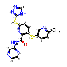 Cc1ccc(Sc2ccc(Sc3nnc[nH]3)nc2C(=O)Nc2cnccn2)cn1